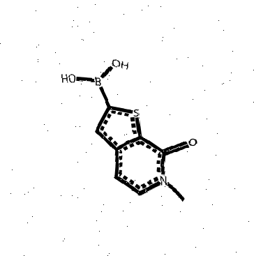 Cn1ccc2cc(B(O)O)sc2c1=O